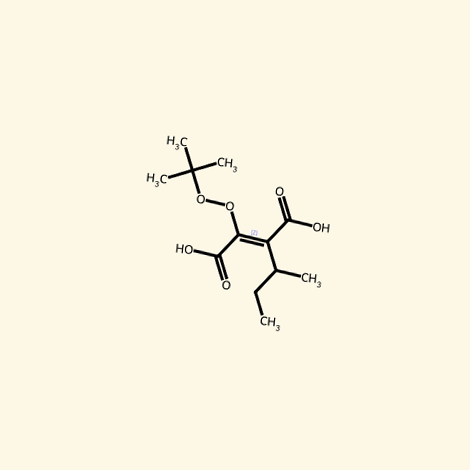 CCC(C)/C(C(=O)O)=C(/OOC(C)(C)C)C(=O)O